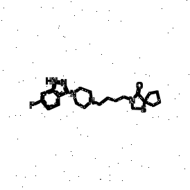 O=C1N(CCCCN2CCN(c3n[nH]c4cc(F)ccc34)CC2)CSC12CCCC2